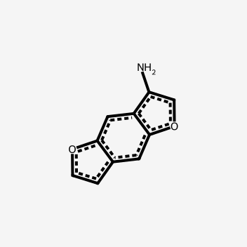 Nc1coc2cc3ccoc3cc12